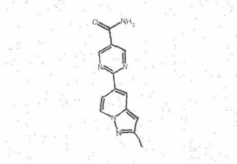 Cc1cc2cc(-c3ncc(C(N)=O)cn3)ccn2n1